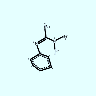 CC(C)N(C(=Nc1ccccc1)C(C)(C)C)C(C)C